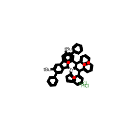 CC(C)(C)c1cc2c(cc1-c1ccccc1)[CH]([Zr]([C]1=CC=CC1)=[C](C(c1ccccc1)c1ccccc1)C(c1ccccc1)c1ccccc1)c1cc(-c3ccccc3)c(C(C)(C)C)cc1-2.Cl.Cl